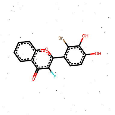 O=c1c(F)c(-c2ccc(O)c(O)c2Br)oc2ccccc12